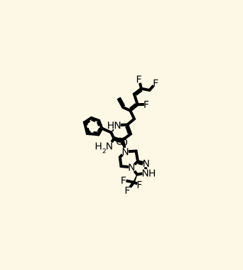 C=C/C(C/C(=C/C(=O)N1CCN2C(=NN[C@H]2C(F)(F)F)C1)N[C@H](C(N)=O)c1ccccc1)=C(F)\C=C(\F)CF